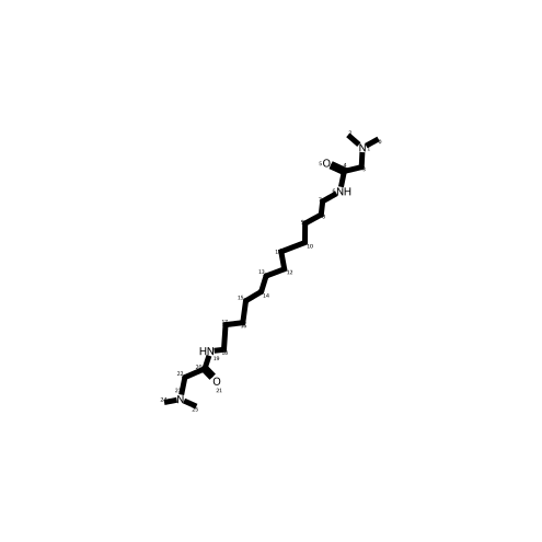 CN(C)CC(=O)NCCCCCCCCCCCCNC(=O)CN(C)C